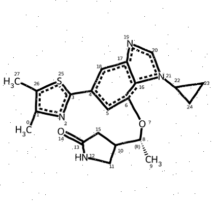 Cc1nc(-c2cc(O[C@H](C)C3CNC(=O)C3)c3c(c2)ncn3C2CC2)sc1C